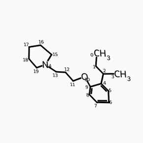 CCC(C)c1ccccc1OCCCN1CCCCC1